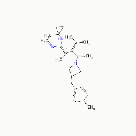 C=N/C(NC1(C)CC1)=C(\C)C(C(=C)N1CC(CC2=CCC(C)C=C2)C1)=C(C)C